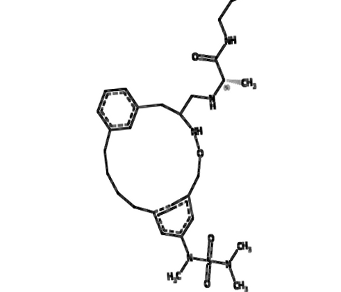 C[C@H](NCC1Cc2cccc(c2)CCCCc2cc(cc(N(C)S(=O)(=O)N(C)C)c2)CON1)C(=O)NCC1CC1